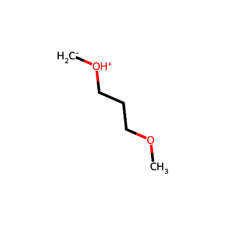 [CH2-][OH+]CCCOC